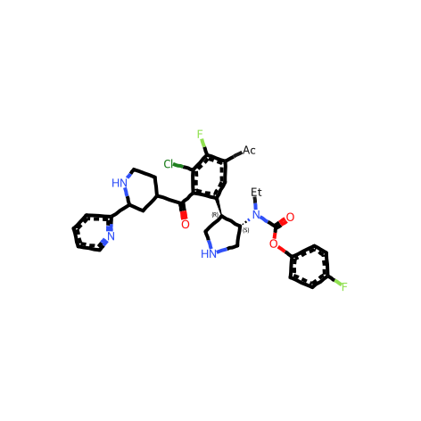 CCN(C(=O)Oc1ccc(F)cc1)[C@@H]1CNC[C@H]1c1cc(C(C)=O)c(F)c(Cl)c1C(=O)C1CCNC(c2ccccn2)C1